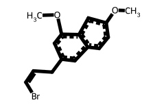 COc1ccc2cc(C/C=C\Br)cc(OC)c2c1